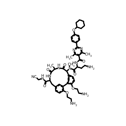 Cc1nc(-c2ccc(OC3CCCCC3)cc2)nc(C)c1C(=O)NC(CCN)C(=O)N(C)C1C(=O)NC(C)C(=O)NC(C(=O)NCC#N)Cc2ccc(OCCN)c(c2)-c2cc1ccc2OCCN